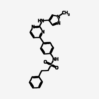 Cn1cc(Nc2nccc(-c3ccc(NS(=O)(=O)CCc4ccccc4)cc3)n2)cn1